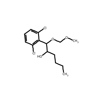 CCCCC(O)C(OCOC)c1c(Cl)cccc1Cl